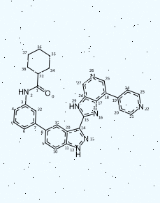 O=C(Nc1cccc(-c2ccc3[nH]nc(-c4nc5c(-c6ccncc6)cncc5[nH]4)c3c2)c1)C1CCCCC1